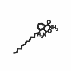 CCCCCCCCCCCCc1cccc(C(N)=O)c1C(N)=O